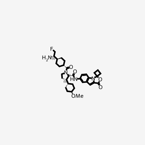 CO[C@H]1CC[C@H]([C@@H]2CCN(C(=O)[C@H]3CC[C@H]([C@H](N)CF)CC3)[C@@H]2C(=O)Nc2ccc3c(c2)cc2n3C3(CCC3)OC2=O)CC1